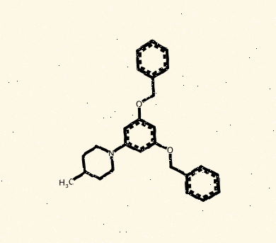 CC1CCN(c2cc(OCc3ccccc3)cc(OCc3ccccc3)c2)CC1